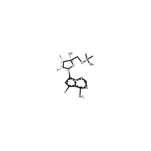 C[C@H]1[C@@H](F)[C@H](c2cc(F)c3c(N)ncnn23)O[C@]1(C#N)CO[Si](C)(C)C(C)(C)C